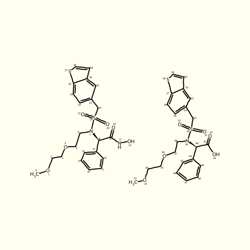 COCCOCCN([C@@H](C(=O)NO)c1ccccc1)S(=O)(=O)Cc1ccc2sccc2c1.COCCOCCN([C@@H](C(=O)O)c1ccccc1)S(=O)(=O)Cc1ccc2sccc2c1